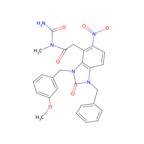 COc1cccc(Cn2c(=O)n(Cc3ccccc3)c3ccc([N+](=O)[O-])c(CC(=O)N(C)C(N)=O)c32)c1